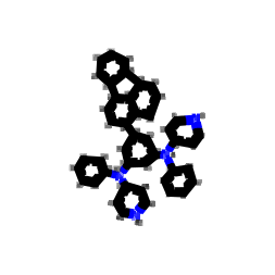 c1ccc(N(c2ccncc2)c2cc(-c3ccc4c5c(cccc35)-c3ccccc3-4)cc(N(c3ccccc3)c3ccncc3)c2)cc1